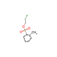 Cc1ccccc1S(=O)(=O)OCCF